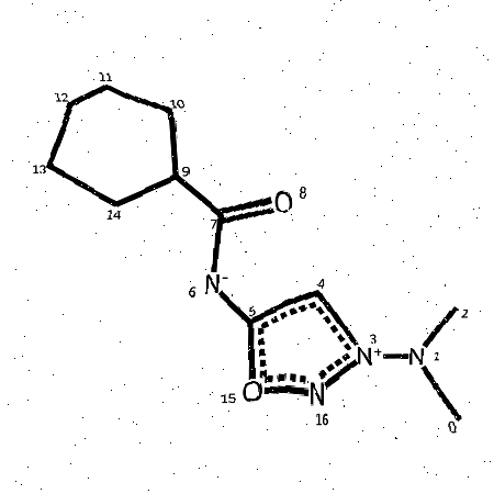 CN(C)[n+]1cc([N-]C(=O)C2CCCCC2)on1